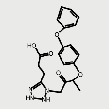 CC(Oc1ccc(Oc2ccccc2)cc1)C(=O)CN1NNN=C1CCC(=O)O